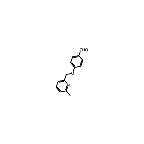 Cc1cccc(COc2ccc(C=O)cc2)n1